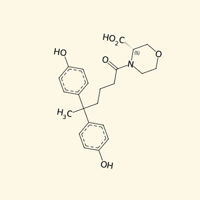 CC(CCCC(=O)N1CCOC[C@H]1C(=O)O)(c1ccc(O)cc1)c1ccc(O)cc1